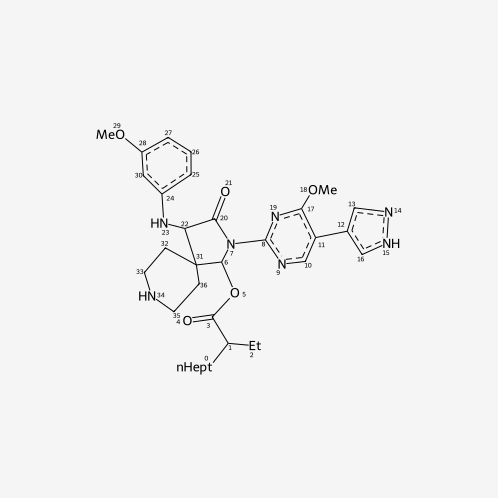 CCCCCCCC(CC)C(=O)OC1N(c2ncc(-c3cn[nH]c3)c(OC)n2)C(=O)C(Nc2cccc(OC)c2)C12CCNCC2